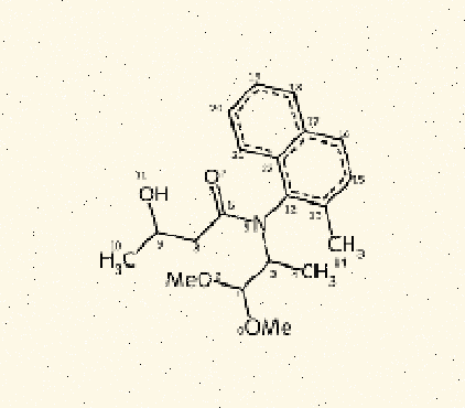 COC(OC)C(C)N(C(=O)CC(C)O)c1c(C)ccc2ccccc12